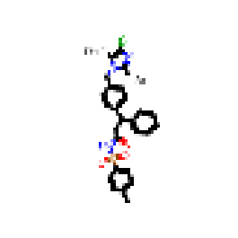 CCCCc1nc(Cl)c(C=O)n1Cc1ccc(C(CC(=O)NS(=O)(=O)c2ccc(C)cc2)c2ccccc2)cc1